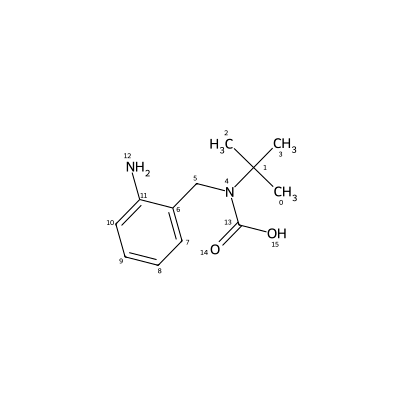 CC(C)(C)N(Cc1ccccc1N)C(=O)O